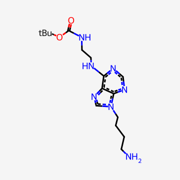 CC(C)(C)OC(=O)NCCNc1ncnc2c1ncn2CCCCN